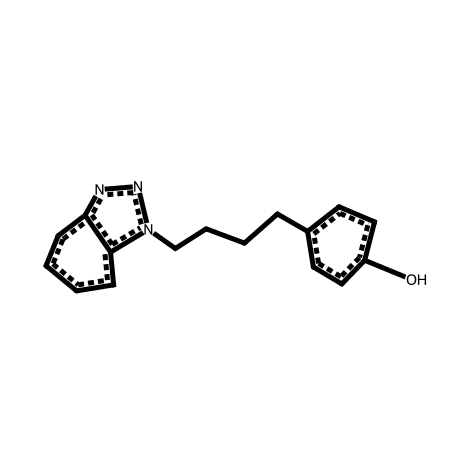 Oc1ccc(CCCCn2nnc3ccccc32)cc1